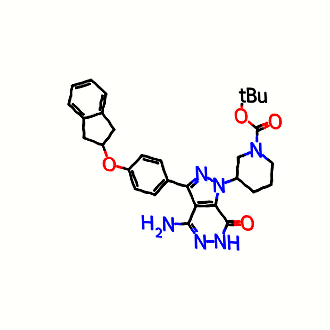 CC(C)(C)OC(=O)N1CCCC(n2nc(-c3ccc(OC4Cc5ccccc5C4)cc3)c3c(N)n[nH]c(=O)c32)C1